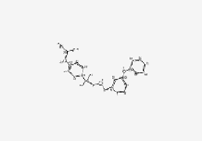 CC(C)(COCc1cccc(Oc2ccccc2)c1)c1ccc(OC(F)F)cc1